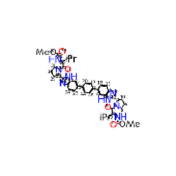 COC(=O)NC(C(=O)N1CCC[C@H]1c1nc2ccc(-c3ccc(-c4ccc5nc([C@@H]6CCCN6C(=O)[C@@H](NC(=O)OC)C(C)C)[nH]c5c4)cc3)cc2[nH]1)C(C)C